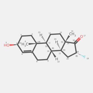 C[C@]12CC[C@H](O)C=C1CC[C@@H]1[C@@H]2CC[C@]2(C)C(=O)[C@H](F)C[C@@H]12